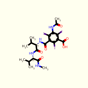 CNC(=O)[C@@H](NC(=O)[C@@H](NC(=O)c1c(I)c(NC(C)=O)c(I)c(C(=O)O)c1I)C(C)C)C(C)C